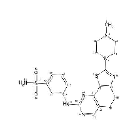 CN1CCN(c2nc3c(s2)-c2nc(Nc4cccc(S(N)(=O)=O)c4)ncc2CC3)CC1